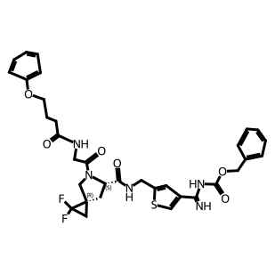 N=C(NC(=O)OCc1ccccc1)c1csc(CNC(=O)[C@@H]2C[C@]3(CN2C(=O)CNC(=O)CCCOc2ccccc2)CC3(F)F)c1